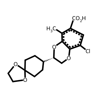 Cc1c(C(=O)O)cc(Cl)c2c1O[C@@H](C1CCC3(CC1)OCCO3)CO2